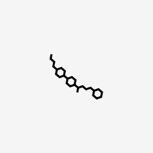 CCCCC1CCC(C2CCC(C(C)CCCC3CCCCC3)CC2)CC1